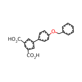 O=C(O)c1cc(C(=O)O)cc(-c2ccc(OCc3ccccc3)cc2)c1